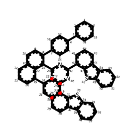 c1ccc(-c2ccc(-c3ccc4cccc(-c5ccccc5)c4c3-c3nc(-c4cccc5c4sc4ccccc45)nc(-c4cccc5c4sc4ccccc45)n3)cc2)cc1